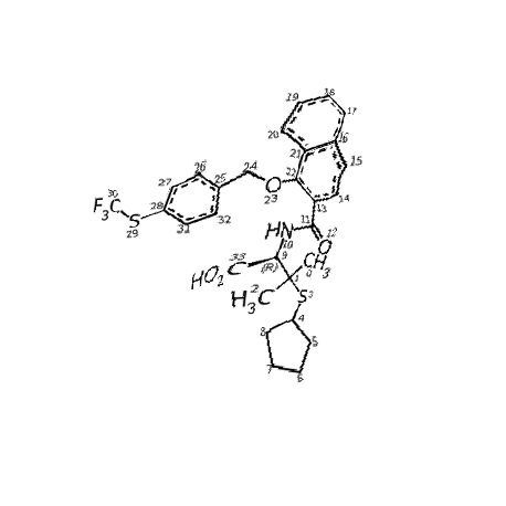 CC(C)(SC1CCCC1)[C@H](NC(=O)c1ccc2ccccc2c1OCc1ccc(SC(F)(F)F)cc1)C(=O)O